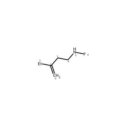 C=C(CC)CCNF